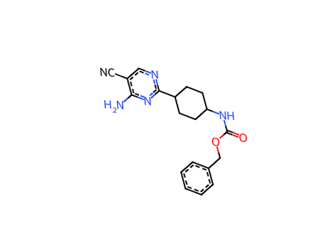 N#Cc1cnc(C2CCC(NC(=O)OCc3ccccc3)CC2)nc1N